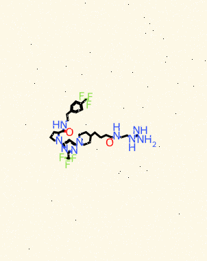 N=C(N)NCCNC(=O)CCCC1CCN(c2cc(N3CCCC3C(=O)NCCc3ccc(C(F)(F)F)cc3)nc(C(F)(F)F)n2)CC1